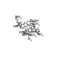 Cn1c(-c2ccc3c(c2)CC[C@@H]([C@@](C)(O/N=C(\C(=O)N[C@@H]2C(=O)N(OS(=O)(=O)O)C2(C)C)c2csc(N)n2)C(=O)O)O3)cn(CCCN)c1=N